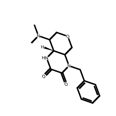 CN(C)C1COCC2[C@@H]1NC(=O)C(=O)N2Cc1ccccc1